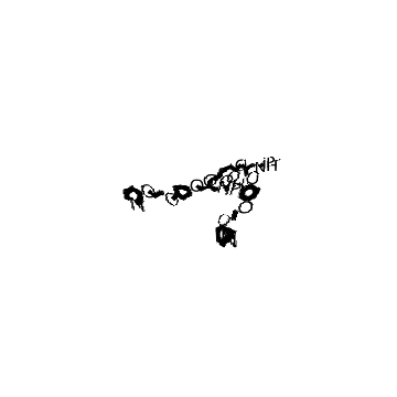 CC(C)NCC(COc1ccc(OCCOc2cccnc2)cc1)OC(=O)/C=C\C(=O)OC(CNC(C)C)COc1ccc(OCCOc2cccnc2)cc1